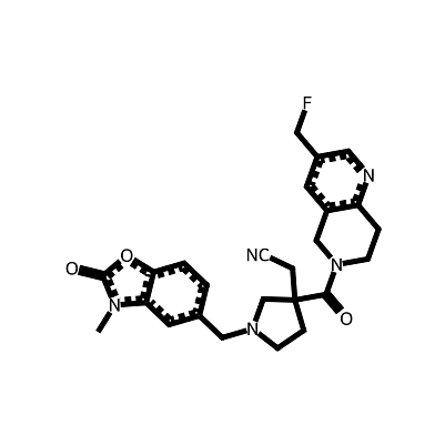 Cn1c(=O)oc2ccc(CN3CCC(CC#N)(C(=O)N4CCc5ncc(CF)cc5C4)C3)cc21